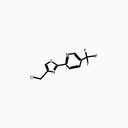 FC(F)(F)c1ccc(-c2nc(CCl)cs2)nc1